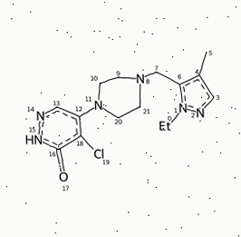 CCn1ncc(C)c1CN1CCN(c2cn[nH]c(=O)c2Cl)CC1